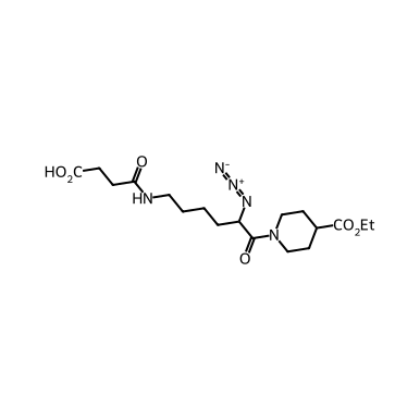 CCOC(=O)C1CCN(C(=O)C(CCCCNC(=O)CCC(=O)O)N=[N+]=[N-])CC1